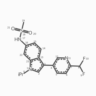 CC(C)n1cc(-c2ccc(C(F)F)nc2)c2ccc(NS(C)(=O)=O)cc21